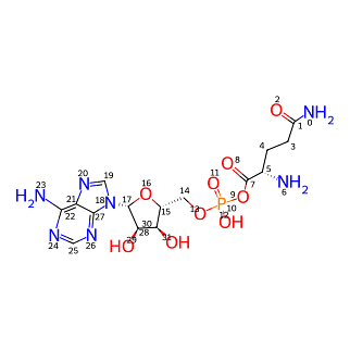 NC(=O)CC[C@H](N)C(=O)OP(=O)(O)OC[C@H]1O[C@@H](n2cnc3c(N)ncnc32)[C@H](O)[C@@H]1O